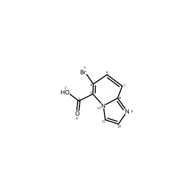 O=C(O)c1c(Br)ccc2nccn12